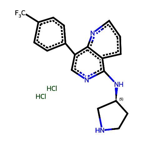 Cl.Cl.FC(F)(F)c1ccc(-c2cnc(N[C@H]3CCNC3)c3cccnc23)cc1